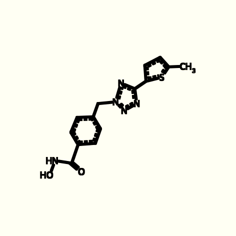 Cc1ccc(-c2nnn(Cc3ccc(C(=O)NO)cc3)n2)s1